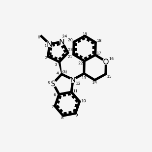 Cn1cc([C@@H]2Sc3ccccc3N2C2CCOc3ccccc32)cn1